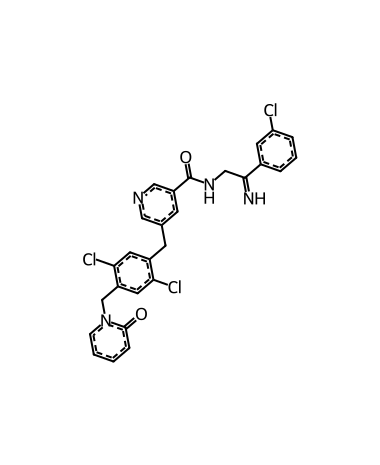 N=C(CNC(=O)c1cncc(Cc2cc(Cl)c(Cn3ccccc3=O)cc2Cl)c1)c1cccc(Cl)c1